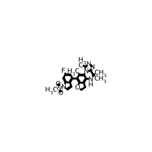 Cc1c(-c2cc(F)cc3c2ccn3S(C)(=O)=O)c2c(c3c1-n1c(C)nnc1C(C)(C)N3)CCO2